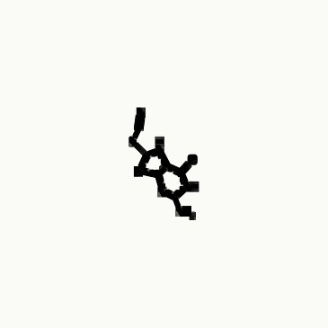 N#CSc1nc2nc(N)[nH]c(=O)c2[nH]1